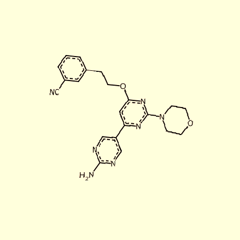 N#Cc1cccc(CCOc2cc(-c3cnc(N)nc3)nc(N3CCOCC3)n2)c1